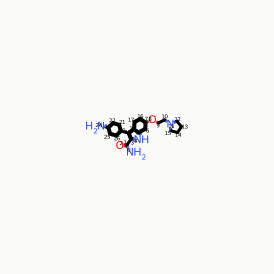 NC(=O)c1[nH]c2cc(OCCN3CCCC3)ccc2c1-c1ccc(N)cc1